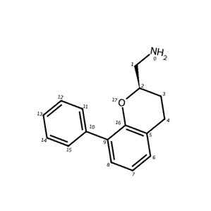 NC[C@H]1CCc2cccc(-c3ccccc3)c2O1